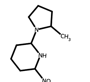 CC1CCCN1C1CCCC([N+](=O)[O-])N1